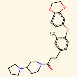 O=C(C=Cc1ccc(Sc2ccc3c(c2)OCCO3)c(C(F)(F)F)c1)N1CCC(N2CCCC2)CC1